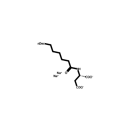 CCCCCCCCCCCCCCCC(=O)N[C@@H](CC(=O)[O-])C(=O)[O-].[Na+].[Na+]